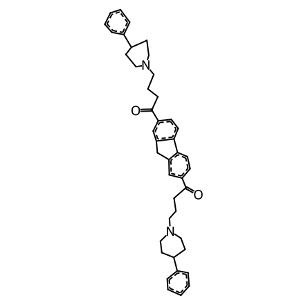 O=C(CCCN1CCC(c2ccccc2)CC1)c1ccc2c(c1)Cc1cc(C(=O)CCCN3CCC(c4ccccc4)CC3)ccc1-2